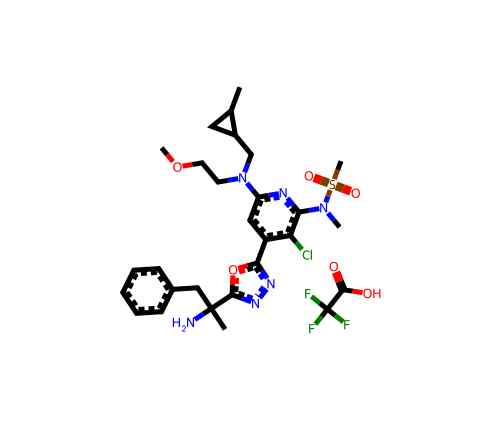 COCCN(CC1CC1C)c1cc(-c2nnc(C(C)(N)Cc3ccccc3)o2)c(Cl)c(N(C)S(C)(=O)=O)n1.O=C(O)C(F)(F)F